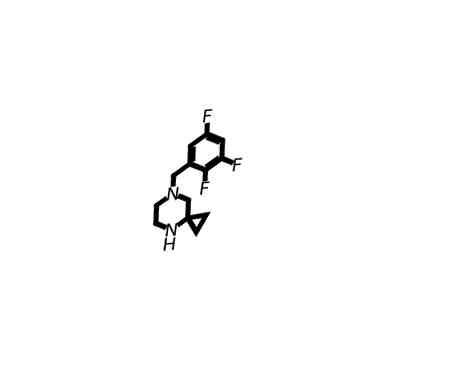 Fc1cc(F)c(F)c(CN2CCNC3(CC3)C2)c1